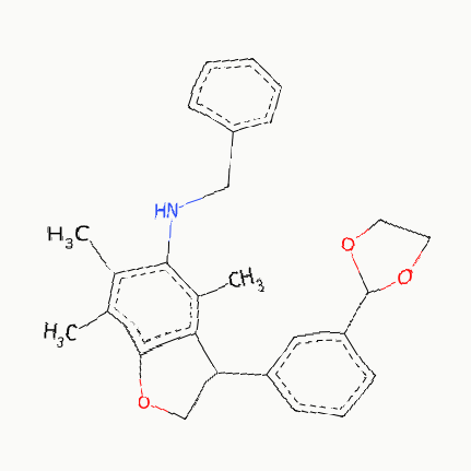 Cc1c(C)c2c(c(C)c1NCc1ccccc1)C(c1cccc(C3OCCO3)c1)CO2